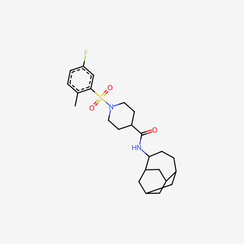 Cc1ccc(F)cc1S(=O)(=O)N1CCC(C(=O)NC2CCC3CC4CC3CC2C4)CC1